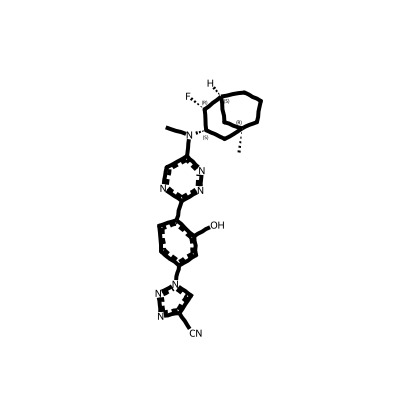 CN(c1cnc(-c2ccc(-n3cc(C#N)nn3)cc2O)nn1)[C@H]1C[C@]2(C)CCC[C@@H](C2)[C@H]1F